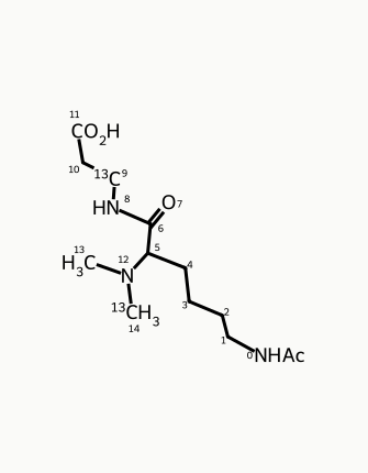 C[13C](=O)NCCCCC(C(=O)N[13CH2]CC(=O)O)N(C)[13CH3]